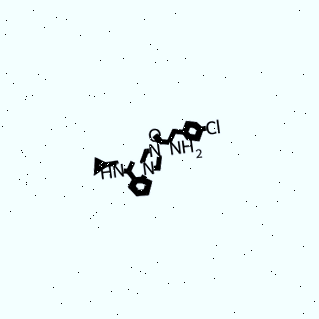 CC(NCC1CC1)c1ccccc1N1CCN(C(=O)C(N)Cc2ccc(Cl)cc2)CC1